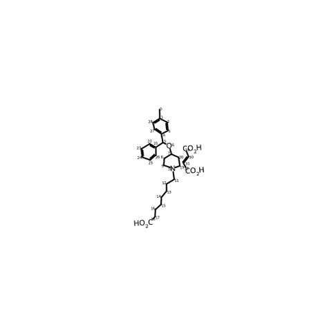 Cc1ccc(C(OC2CCN(CCCCCCCC(=O)O)CC2)c2ccccc2)cc1.O=C(O)/C=C/C(=O)O